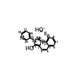 Oc1c2ccc3cccc(F)c3[n+]2nn1-c1cccnc1.[OH-]